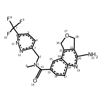 CN(Cc1ccc(C(F)(F)F)nn1)C(=O)c1ccc2nc(N)c3c(c2c1)COC3